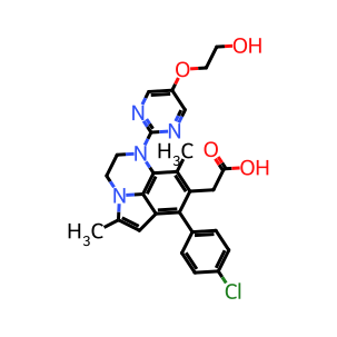 Cc1c(CC(=O)O)c(-c2ccc(Cl)cc2)c2cc(C)n3c2c1N(c1ncc(OCCO)cn1)CC3